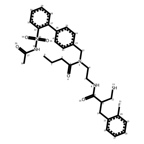 CCCC(=O)N(CCNC(=O)C(CS)Cc1ccccc1F)Cc1ccc(-c2ccccc2S(=O)(=O)NC(C)=O)cc1